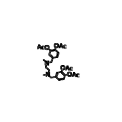 CC(=O)Oc1ccc(CN(C)CCN(C)Cc2ccc(OC(C)=O)c(OC(C)=O)c2)cc1OC(C)=O